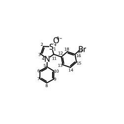 [O-][S+]1C=CN(c2ccccc2)C1c1cccc(Br)c1